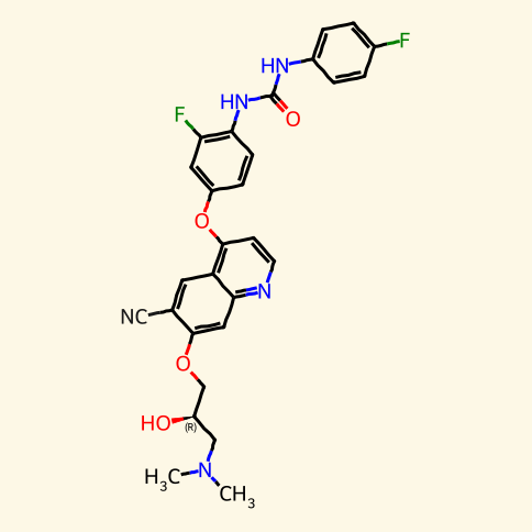 CN(C)C[C@@H](O)COc1cc2nccc(Oc3ccc(NC(=O)Nc4ccc(F)cc4)c(F)c3)c2cc1C#N